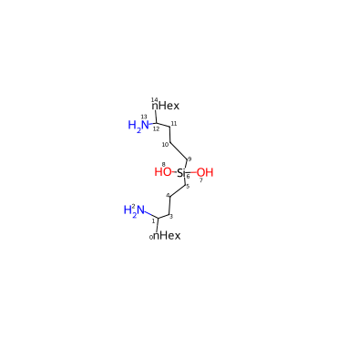 CCCCCCC(N)CCC[Si](O)(O)CCCC(N)CCCCCC